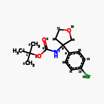 CC(C)(C)OC(=O)NC1(c2ccc(Br)cc2)CCOC1